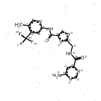 Cc1cnc(NC(=O)c2cnc(CNC(=O)c3cc(N)ncn3)s2)cc1C(F)(F)F